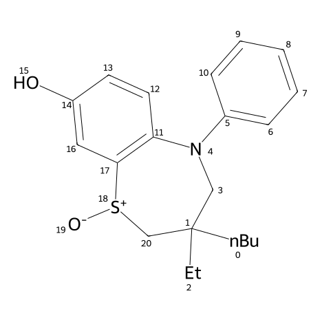 CCCCC1(CC)CN(c2ccccc2)c2ccc(O)cc2[S+]([O-])C1